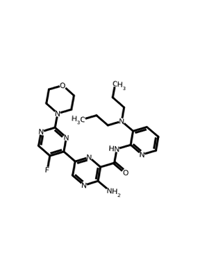 CCCN(CCC)c1cccnc1NC(=O)c1nc(-c2nc(N3CCOCC3)ncc2F)cnc1N